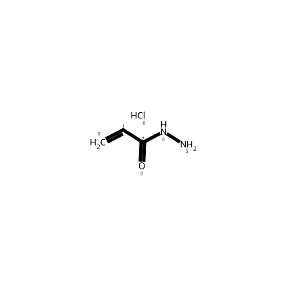 C=CC(=O)NN.Cl